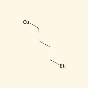 CCCCC[CH2][Cu]